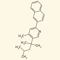 Cc1cc(-c2ccc3ccccc3c2)ncc1C(C)(C)CC(C)C